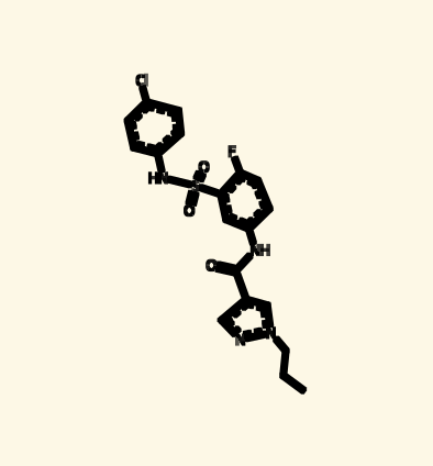 CCCn1cc(C(=O)Nc2ccc(F)c(S(=O)(=O)Nc3ccc(Cl)cc3)c2)cn1